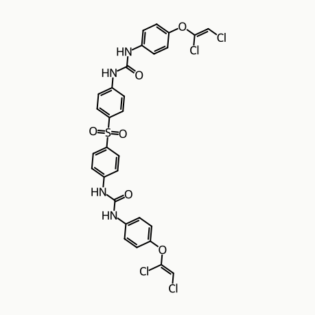 O=C(Nc1ccc(OC(Cl)=CCl)cc1)Nc1ccc(S(=O)(=O)c2ccc(NC(=O)Nc3ccc(OC(Cl)=CCl)cc3)cc2)cc1